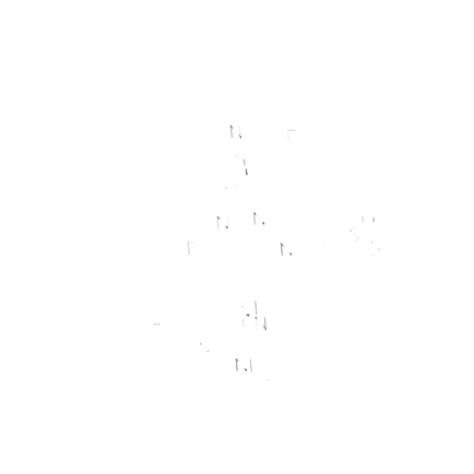 N#Cc1c(N)sc2c(F)ccc(-c3c(Cl)cc4c(N5CCCC6(CCS(=O)(=O)C6)C5)nc(OC[C@@]56CCCN5C[C@H](F)C6)nc4c3F)c12